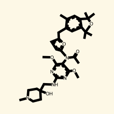 COc1nc(NCC2(O)CCN(C)CC2)nc(OC)c1N(C(C)=O)c1ccc(Cc2cc3c(cc2C)C(C)(C)OC3(C)C)o1